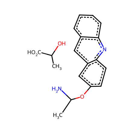 CC(N)Oc1ccc2nc3ccccc3cc2c1.CC(O)C(=O)O